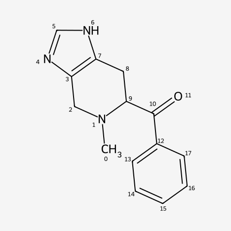 CN1Cc2nc[nH]c2CC1C(=O)c1ccccc1